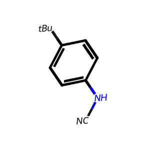 CC(C)(C)c1ccc(NC#N)cc1